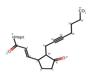 CCCCCCCC(=O)C=CC1CCC(=O)C1CC#CCCCC(=O)O